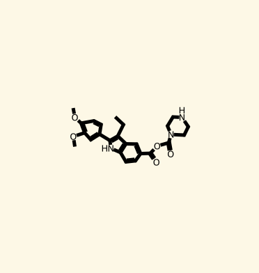 CCc1c(-c2ccc(OC)c(OC)c2)[nH]c2ccc(C(=O)OC(=O)N3CCNCC3)cc12